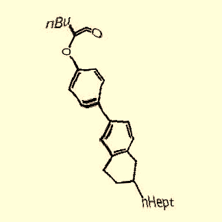 CCCCCCCC1CCc2cc(-c3ccc(OC(=O)CCCC)cc3)ccc2C1